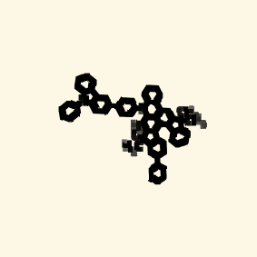 CC1(C)c2ccccc2-c2ccc(-c3ccccc3N(c3ccc(-c4ccc5c(c4)c4ccccc4n5-c4ccccc4)cc3)c3ccc4c(c3)C(C)(C)c3cc(-c5ccccc5)ccc3-4)cc21